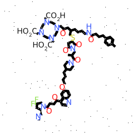 C/N=C/[C@H]1CC(F)(F)CN1C(=O)CCC(=O)c1ccnc2ccc(OCCCCC3CCN(C(=O)C(C)CN4C(=O)CC(SCC(CCCCNC(=O)CCCc5ccc(C)cc5)CC(=O)CN5CCN(CC(=O)O)CCN(CC(=O)O)CCN(CC(=O)O)CC5)C4=O)CC3)cc12